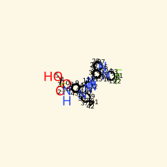 O=S(=O)(CCO)Nc1ccc(-c2cn(-c3cc(N4CCC(F)(F)CC4)c4ncccc4c3)nn2)c(N2CCC3(CC2)CC3)c1